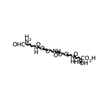 N[C@H](C=O)CCCCNC(=O)COCCOCCNC(=O)COCCOCCNC(=O)CC[C@H](NO)C(=O)O